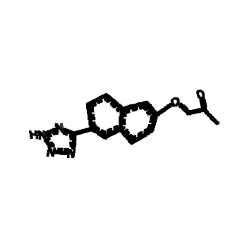 CC(=O)COc1ccc2cc(-c3nn[nH]n3)ccc2c1